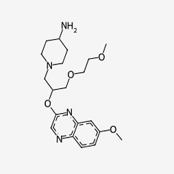 COCCOCC(CN1CCC(N)CC1)Oc1cnc2ccc(OC)cc2n1